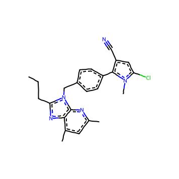 CCCc1nc2c(C)cc(C)nc2n1Cc1ccc(-c2c(C#N)cc(Cl)n2C)cc1